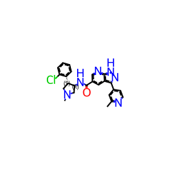 Cc1cc(-c2n[nH]c3ncc(C(=O)N[C@H]4CN(C)C[C@@H]4c4ccccc4Cl)cc23)ccn1